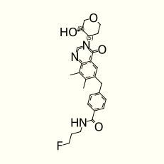 Cc1c(Cc2ccc(C(=O)NCCCF)cc2)cc2c(=O)n([C@H]3CCOC[C@@H]3O)cnc2c1C